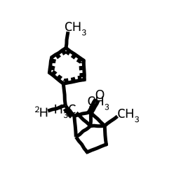 [2H]C(=C1C(=O)C2(C)CCC1C2(C)C)c1ccc(C)cc1